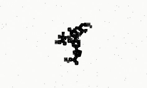 CC(=O)c1ccc(-c2cnc(-c3nc(=O)n(CC(CN)=C(F)F)[nH]3)c(C)c2)s1.O=C(O)C(F)(F)F